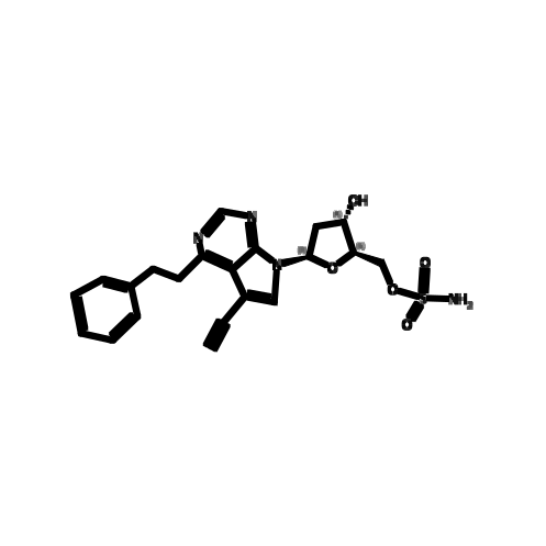 C#Cc1cn([C@H]2C[C@H](O)[C@@H](COS(N)(=O)=O)O2)c2ncnc(CCc3ccccc3)c12